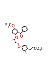 Cc1cc(OCCC(C)Oc2ccc(OC(F)(F)F)cc2C(=O)c2ccccc2)ccc1CCC(=O)O